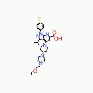 CCOCCN1CCN(C2CCN(c3cc(C(=O)O)nc4c3c(C(C)C)nn4-c3ccc(F)cc3)CC2)CC1